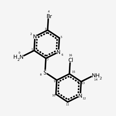 Nc1nc(Br)cnc1Sc1ccnc(N)c1Cl